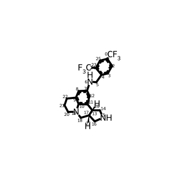 FC(F)(F)c1ccc(CNc2cc3c4c(c2)[C@@H]2CNC[C@@H]2CN4CCC3)c(C(F)(F)F)c1